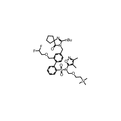 CCCCC1=NC2(CCCC2)C(=O)N1Cc1ccc(-c2ccccc2S(=O)(=O)N(COCC[Si](C)(C)C)c2onc(C)c2C)c(COCC(F)F)c1